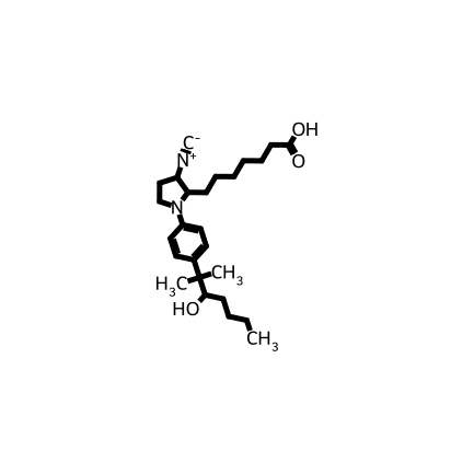 [C-]#[N+]C1CCN(c2ccc(C(C)(C)C(O)CCCC)cc2)C1CCCCCCC(=O)O